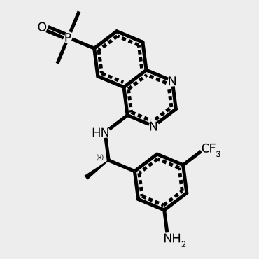 C[C@@H](Nc1ncnc2ccc(P(C)(C)=O)cc12)c1cc(N)cc(C(F)(F)F)c1